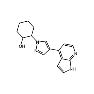 OC1CCCCC1n1cc(-c2ccnc3[nH]ccc23)cn1